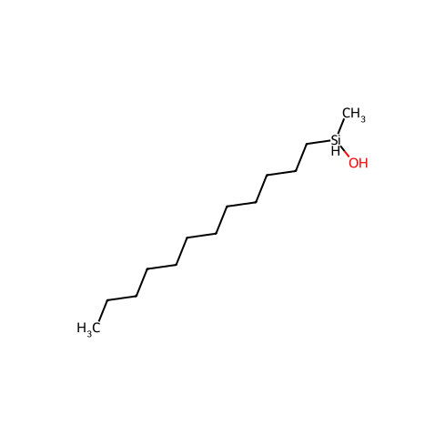 CCCCCCCCCCCC[SiH](C)O